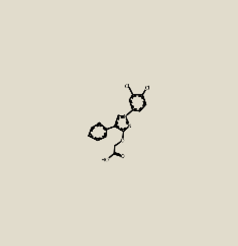 O=C(O)COc1nn(-c2ccc(Cl)c(Cl)c2)cc1-c1ccccc1